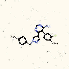 COc1ccc(-c2c(N)ncnc2-c2cnn(Cc3ccc(C(F)(F)F)cc3)c2)cc1F